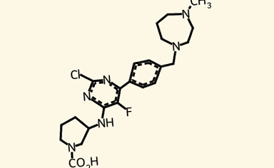 CN1CCCN(Cc2ccc(-c3nc(Cl)nc(NC4CCCN(C(=O)O)C4)c3F)cc2)CC1